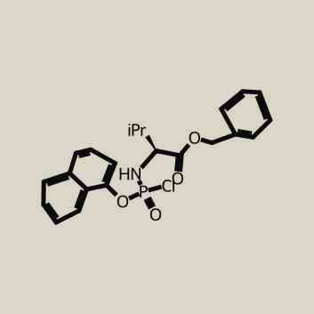 CC(C)[C@H](NP(=O)(Cl)Oc1cccc2ccccc12)C(=O)OCc1ccccc1